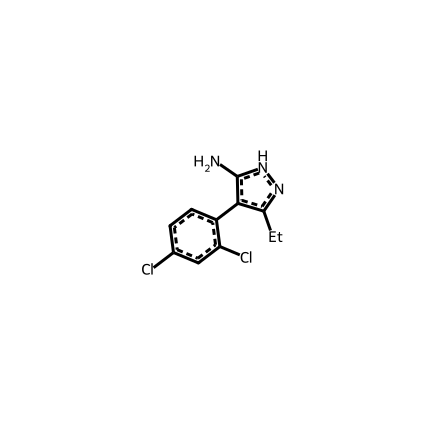 CCc1n[nH]c(N)c1-c1ccc(Cl)cc1Cl